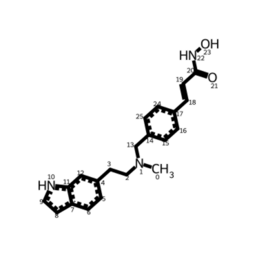 CN(CCc1ccc2cc[nH]c2c1)Cc1ccc(/C=C/C(=O)NO)cc1